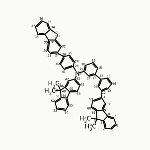 CC1(C)c2ccccc2-c2cc(-c3cccc(-c4cccc(N(c5ccc(-c6ccc7c(c6)sc6ccccc67)cc5)c5ccc6c(c5)C(C)(C)c5ccccc5-6)c4)c3)ccc21